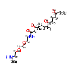 CC(CCC(C)(C)C(=O)CC(=O)NCCOCCOCCNC(C)(C)C)C(=O)CCCC(=O)C(C)(C)C